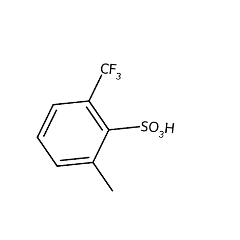 Cc1cccc(C(F)(F)F)c1S(=O)(=O)O